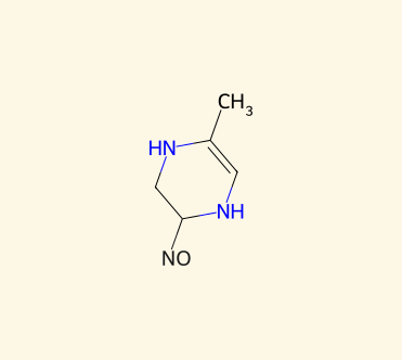 CC1=CNC(N=O)CN1